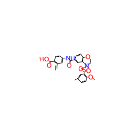 COc1ccc(C)cc1S(=O)(=O)N1CCOc2ccc(C(=O)Nc3ccc(C(=O)O)c(F)c3)cc21